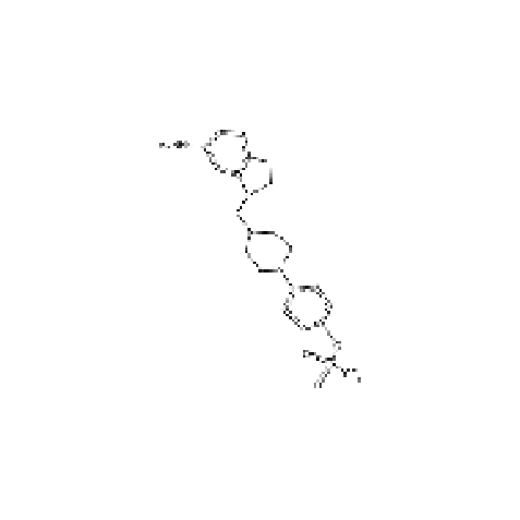 CC(=O)Nc1ccc2c(c1)C(CN1CCN(c3ccc(OS(=O)(=O)C(F)(F)F)cc3)CC1)CC2